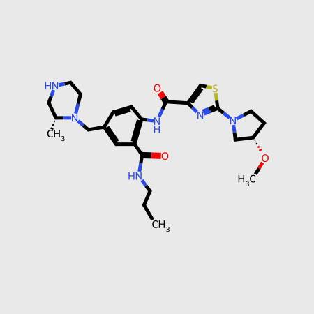 CCCNC(=O)c1cc(CN2CCNC[C@H]2C)ccc1NC(=O)c1csc(N2CC[C@H](OC)C2)n1